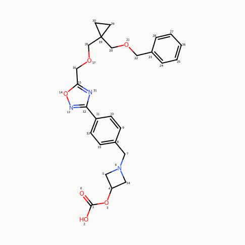 O=C(O)OC1CN(Cc2ccc(-c3noc(COCC4(COCc5ccccc5)CC4)n3)cc2)C1